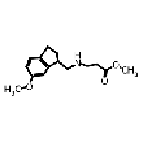 COC(=O)CCNCC1CCc2ccc(OC)cc21